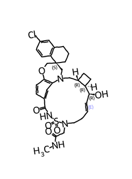 CNC(=O)CN1CC/C=C/[C@H](O)[C@@H]2CC[C@H]2CN2C[C@@]3(CCCc4cc(Cl)ccc43)COc3ccc(cc32)C(=O)NS1(=O)=O